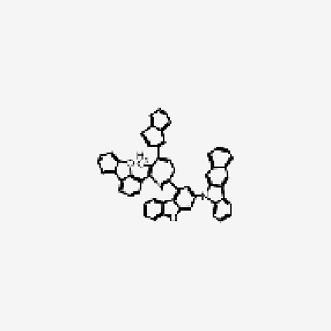 CC1=C(c2cccc3c2oc2ccccc23)N=C(c2cc(-n3c4ccccc4c4cc5ccccc5cc43)cc3oc4ccccc4c23)CC=C1c1ccc2ccccc2c1